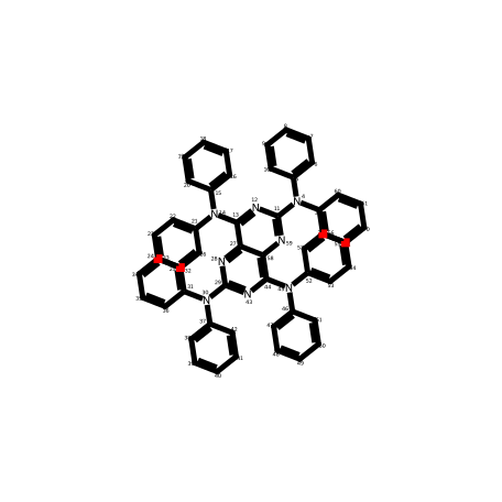 c1ccc(N(c2ccccc2)c2nc(N(c3ccccc3)c3ccccc3)c3nc(N(c4ccccc4)c4ccccc4)nc(N(c4ccccc4)c4ccccc4)c3n2)cc1